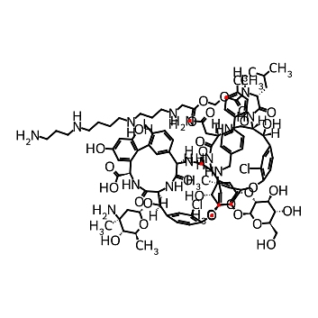 CC(C)C[C@H](C(=O)N[C@H]1C(=O)N[C@@H](CC(N)=O)C(=O)N[C@H]2C(=O)N[C@H]3C(=O)N[C@H](C(=O)N[C@@H](C(=O)O)c4cc(O)cc(O)c4-c4cc3ccc4I)[C@H](O[C@H]3C[C@](C)(N)[C@@H](O)[C@H](C)O3)c3ccc(c(Cl)c3)Oc3cc2cc(c3O[C@@H]2O[C@H](CO)[C@@H](O)[C@H](O)[C@H]2O[C@H]2C[C@](C)(NCc3ccc(-c4ccc(Cl)cc4)cc3)[C@@H](O)[C@H](C)O2)Oc2ccc(cc2Cl)[C@H]1O)N(C)C(=O)OCOC(=O)CNCCCNCCCCNCCCN